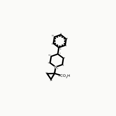 O=C(O)C1(N2CCC(c3ccccc3)CC2)CC1